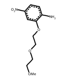 COCCOCCOc1cc([N+](=O)[O-])ccc1N